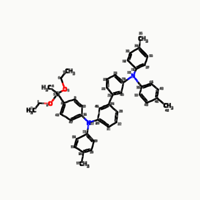 CCO[Si](C)(OCC)c1ccc(N(c2ccc(C)cc2)c2cccc(-c3cccc(N(c4ccc(C)cc4)c4ccc(C)cc4)c3)c2)cc1